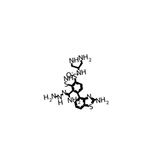 NCC(CN)N[S+]([O-])c1ccc(-c2cccc3sc(N)nc23)c(/C(N)=N/NN)c1SN